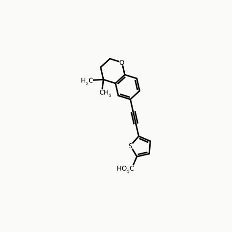 CC1(C)CCOc2ccc(C#Cc3ccc(C(=O)O)s3)cc21